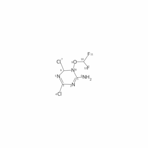 NC1=NC(Cl)=NC(Cl)N1OC(F)F